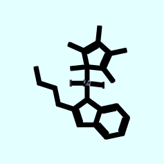 CCCCC1=Cc2ccccc2[CH]1[Zr]([I])([I])[C]1(C)C(C)=C(C)C(C)=C1C